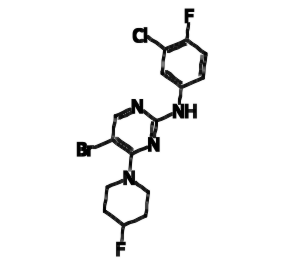 Fc1ccc(Nc2ncc(Br)c(N3CCC(F)CC3)n2)cc1Cl